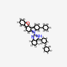 c1ccc(-c2cccc(C3=c4ccccc4=NC(n4c5cc(-c6ccccc6)ccc5c5c6oc7ccccc7c6ccc54)N3)c2)cc1